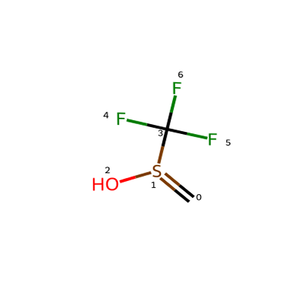 C=S(O)C(F)(F)F